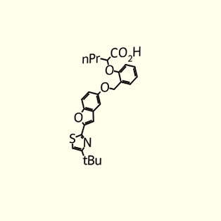 CCCC(Oc1ccccc1COc1ccc2oc(-c3nc(C(C)(C)C)cs3)cc2c1)C(=O)O